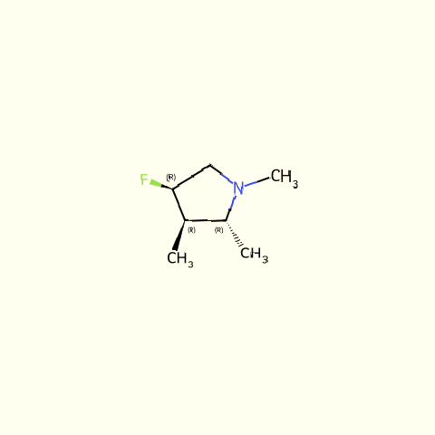 C[C@@H]1[C@@H](C)N(C)C[C@@H]1F